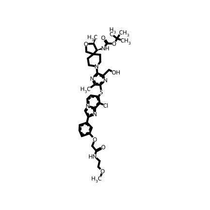 COCCNC(=O)COc1cccc(-c2cn3ccc(Sc4nc(CO)c(N5CCC6(CC5)CO[C@@H](C)[C@H]6NC(=O)OC(C)(C)C)nc4C)c(Cl)c3n2)c1